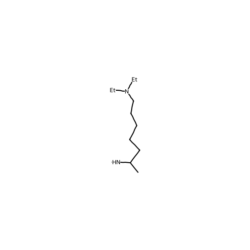 CCN(CC)CCCCCC(C)[NH]